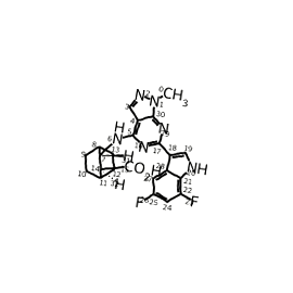 Cn1ncc2c(N[C@H]3C4CCC(CC4)[C@@H]3C(=O)O)nc(-c3c[nH]c4c(F)cc(F)cc34)nc21